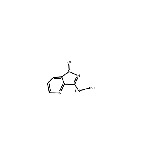 CC(C)(C)Nc1nn(O)c2cccnc12